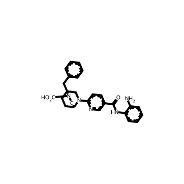 Nc1ccccc1NC(=O)c1ccc(N2CC3(Cc4ccccc4)CCC2CN3C(=O)O)nc1